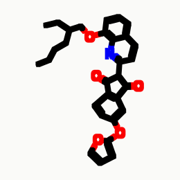 CCCCC(CC)COc1cccc2ccc(C3C(=O)c4ccc(Oc5ccco5)cc4C3=O)nc12